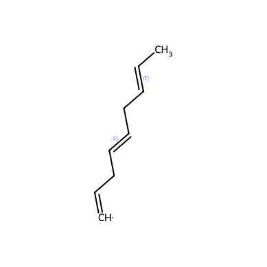 [CH]=CC/C=C/C/C=C/C